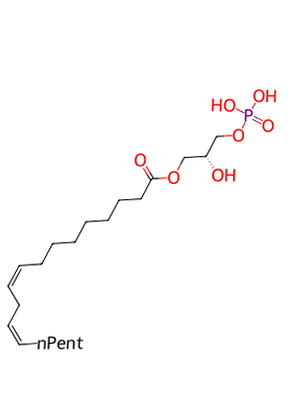 CCCCC/C=C\C/C=C\CCCCCCCC(=O)OC[C@@H](O)COP(=O)(O)O